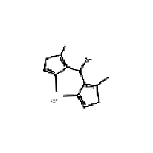 CC1=CCC(C)=C1[CH]([Zr+])C1=C(C)CC=C1C.[Cl-]